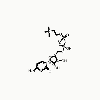 C[N+](C)(C)CCOP(=O)([O-])OP(=O)(O)OC[C@@H]1O[C@@H](n2ccc(N)nc2=O)[C@H](O)[C@@H]1O